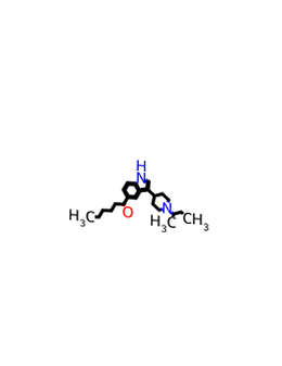 CCCCCC(=O)c1ccc2[nH]cc(C3CCN(C(C)CC)CC3)c2c1